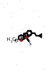 COC1CCC2(CC1)Cc1ccc(CCC3CC3)cc1C21NC(=S)NC1=O